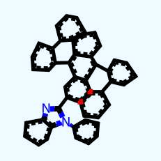 c1ccc(-c2ccccc2-c2c3ccccc3c(-c3ccccc3-c3ccccc3)c3cc(-c4nc5ccccc5n4-c4ccccc4)ccc23)cc1